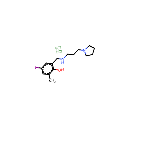 Cc1cc(I)cc(CNCCCN2CCCC2)c1O.Cl.Cl